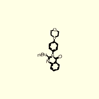 CCCCc1nc2ccccc2c(=O)n1-c1ccc(N2CCOCC2)cc1